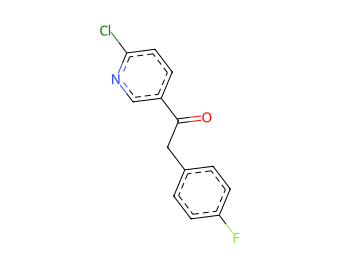 O=C(Cc1ccc(F)cc1)c1ccc(Cl)nc1